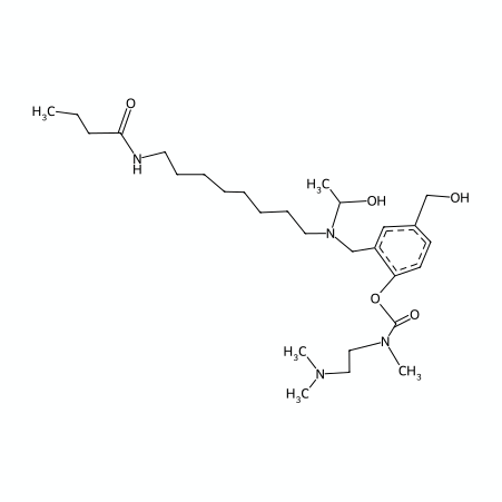 CCCC(=O)NCCCCCCCCN(Cc1cc(CO)ccc1OC(=O)N(C)CCN(C)C)C(C)O